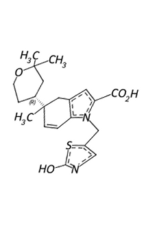 CC1(C)C[C@H](C2(C)C=Cc3c(cc(C(=O)O)n3Cc3cnc(O)s3)C2)CCO1